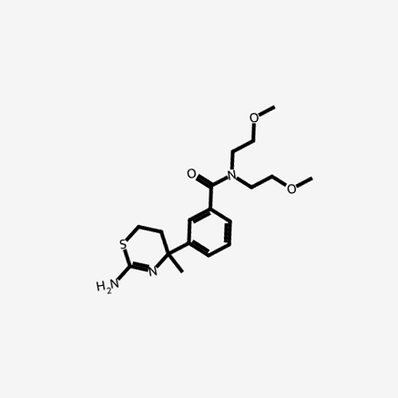 COCCN(CCOC)C(=O)c1cccc(C2(C)CCSC(N)=N2)c1